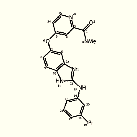 CNC(=O)c1cc(Oc2ccc3[nH]c(Nc4cccc(C(C)C)c4)nc3c2)ccn1